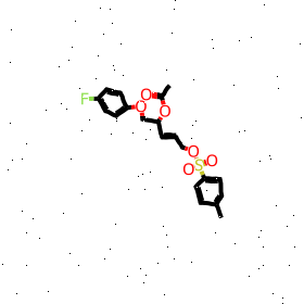 CC(=O)OC(/C=C/COS(=O)(=O)c1ccc(C)cc1)COc1ccc(F)cc1